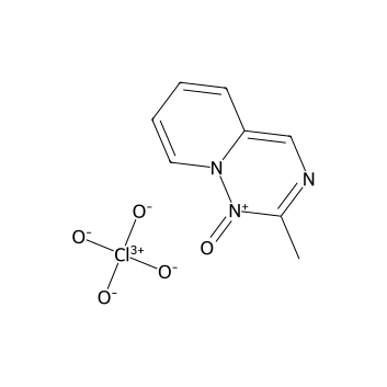 Cc1ncc2ccccn2[n+]1=O.[O-][Cl+3]([O-])([O-])[O-]